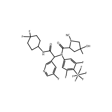 CC1(O)CC(C(=O)N(c2cc(F)c(S(F)(F)(F)(F)F)c(F)c2)C(C(=O)NC2CCC(F)(F)CC2)c2cncc(F)c2)N(C#N)C1